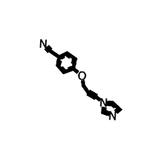 N#Cc1ccc(OCC#Cn2ccnc2)cc1